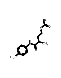 Cc1ccc(NC(=O)C(C)CCSC(=O)C(C)(C)C)cc1